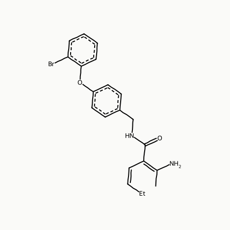 CC/C=C\C(C(=O)NCc1ccc(Oc2ccccc2Br)cc1)=C(/C)N